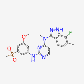 COc1cc(Nc2nccc(N(C)c3n[nH]c4c(F)c(C)ccc34)n2)cc(S(C)(=O)=O)c1